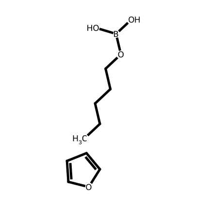 CCCCCOB(O)O.c1ccoc1